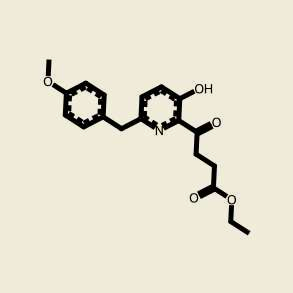 CCOC(=O)CCC(=O)c1nc(Cc2ccc(OC)cc2)ccc1O